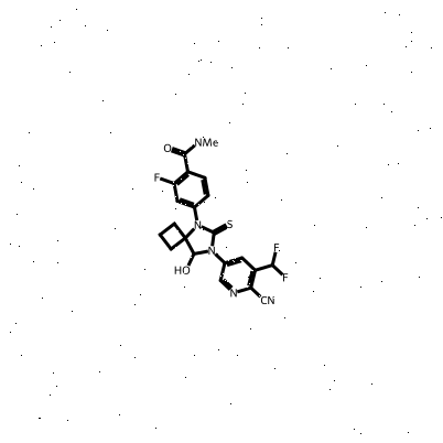 CNC(=O)c1ccc(N2C(=S)N(c3cnc(C#N)c(C(F)F)c3)C(O)C23CCC3)cc1F